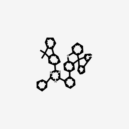 CC1(C)c2ccccc2-c2ccc(-c3nc(-c4ccccc4)nc(-c4ccccc4-c4ccc5c(c4)C4(c6ccccc6S5)c5ccccc5-c5ccccc54)n3)cc21